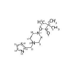 CC(C)(C)C(=O)ON1CCN(Cc2nccs2)CC1